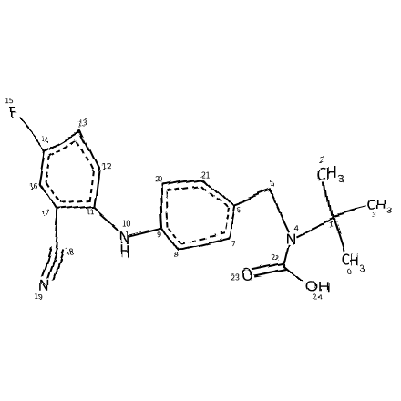 CC(C)(C)N(Cc1ccc(Nc2ccc(F)cc2C#N)cc1)C(=O)O